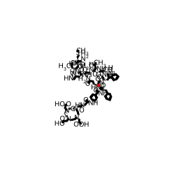 CSCC[C@H](NC(=O)[C@H](CC(C)C)NC(=O)[C@H](Cc1c[nH]cn1)NC(=O)CNC(=O)[C@@H](NC(=O)[C@H](C)NC(=O)[C@H](Cc1c[nH]c2ccccc12)NC(=O)[C@H](CCC(N)=O)NC(=O)[C@@H](Cc1ccccc1)NC(=O)c1ccc(NC(=O)CNC(=O)CN2CCN(CC(=O)O)CCN(CC(=O)O)CCN(CC(=O)O)CC2)cc1)C(C)C)C(N)=O